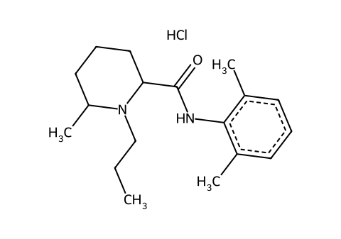 CCCN1C(C)CCCC1C(=O)Nc1c(C)cccc1C.Cl